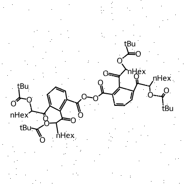 CCCCCCC(OC(=O)C(C)(C)C)C(=O)c1cccc(C(=O)OOC(=O)c2cccc(C(=O)C(CCCCCC)OC(=O)C(C)(C)C)c2C(=O)C(CCCCCC)OC(=O)C(C)(C)C)c1C(=O)C(CCCCCC)OC(=O)C(C)(C)C